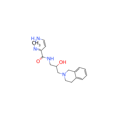 C/N=C(\C=C/N)C(=O)NCC(O)CN1CCc2ccccc2C1